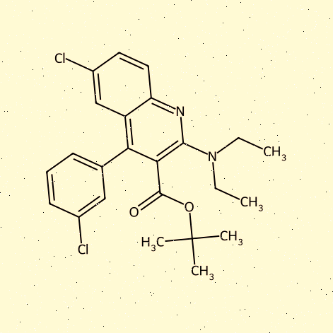 CCN(CC)c1nc2ccc(Cl)cc2c(-c2cccc(Cl)c2)c1C(=O)OC(C)(C)C